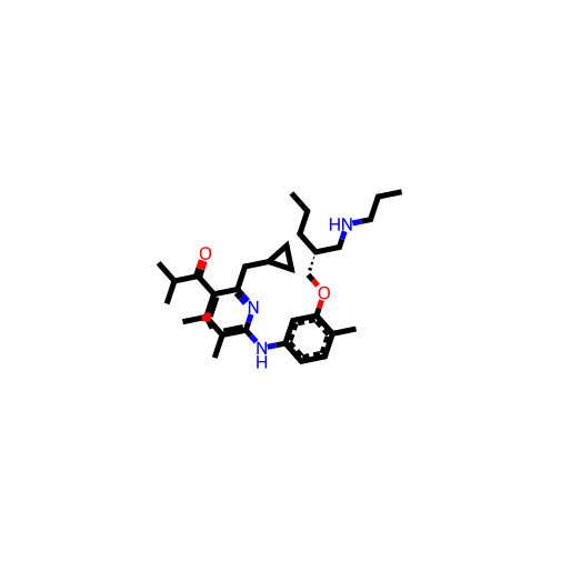 C\C=C(C(=O)C(C)C)/C(CC1CC1)=N\C(Nc1ccc(C)c(OC[C@H](CCC)CNCCC)c1)=C(\C)CC